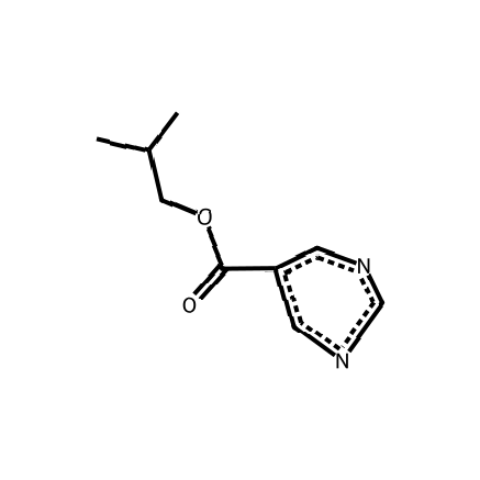 CC(C)COC(=O)c1cncnc1